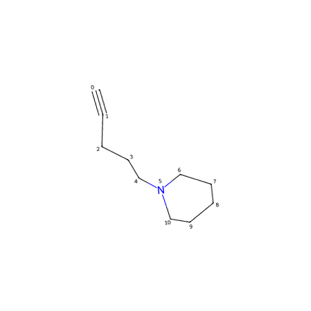 [C]#CCCCN1CCCCC1